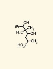 CC(CC(O)C(C)(C)C(O)C(C)C)C(=O)O